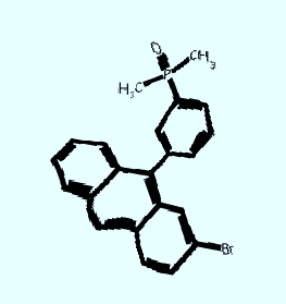 CP(C)(=O)c1cccc(-c2c3ccccc3cc3ccc(Br)cc23)c1